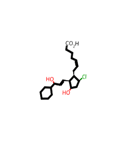 O=C(O)CCC/C=C\C[C@@H]1[C@H](/C=C/[C@H](O)C2CCCCC2)[C@H](O)C[C@@H]1Cl